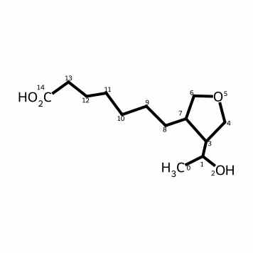 CC(O)C1COCC1CCCCCCC(=O)O